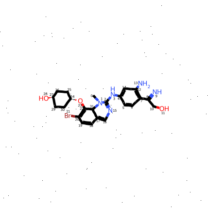 CN1C(Nc2ccc(C(=N)CO)c(N)c2)=NC=C2C=CC(Br)=C(O[C@H]3CC[C@@H](O)CC3)C21